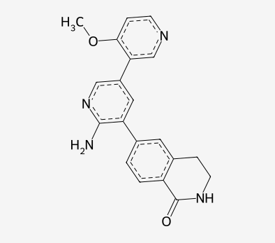 COc1ccncc1-c1cnc(N)c(-c2ccc3c(c2)CCNC3=O)c1